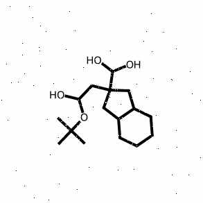 CC(C)(C)OC(O)CC1(C(O)O)CC2CCCCC2C1